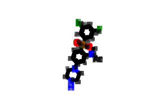 CC(=O)N(C)c1cc(N2CCNCC2)ccc1S(=O)(=O)c1cc(F)cc(F)c1